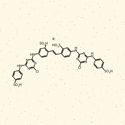 O=S(=O)(O)c1ccc(Nc2nc(Cl)nc(Nc3ccc(C=Cc4ccc(Nc5nc(Cl)nc(Nc6ccc(S(=O)(=O)O)cc6)n5)cc4S(=O)(=O)O)c(S(=O)(=O)O)c3)n2)cc1.[K]